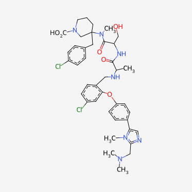 CC(NCc1ccc(Cl)cc1Oc1ccc(-c2cnc(CN(C)C)n2C)cc1)C(=O)NC(CO)C(=O)N(C)C1(Cc2ccc(Cl)cc2)CCCN(C(=O)O)C1